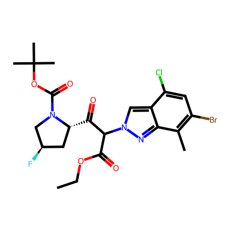 CCOC(=O)C(C(=O)[C@@H]1C[C@@H](F)CN1C(=O)OC(C)(C)C)n1cc2c(Cl)cc(Br)c(C)c2n1